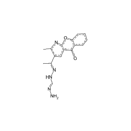 CC(=NNC=NN)c1cc2c(=O)c3ccccc3oc2nc1C